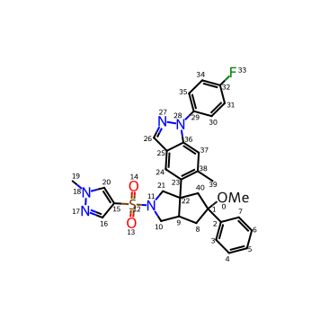 COC1(c2ccccc2)CC2CN(S(=O)(=O)c3cnn(C)c3)CC2(c2cc3cnn(-c4ccc(F)cc4)c3cc2C)C1